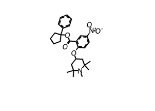 CN1C(C)(C)CC(Oc2ccc([N+](=O)[O-])cc2C(=O)OC2(c3ccccc3)CCCC2)CC1(C)C